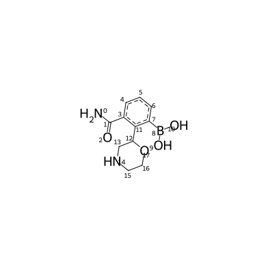 NC(=O)c1cccc(B(O)O)c1C1CNCCO1